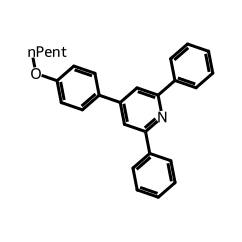 CCCCCOc1ccc(-c2cc(-c3ccccc3)nc(-c3ccccc3)c2)cc1